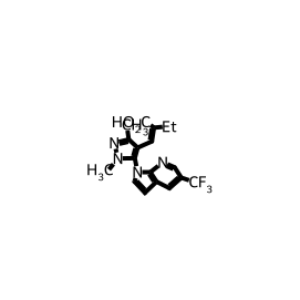 CCC(=Cc1c(C)nn(C)c1-n1ccc2cc(C(F)(F)F)cnc21)C(=O)O